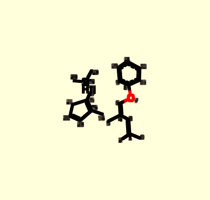 CC(C)=CC(C)=COc1ccccc1.CC1=[C]([Ti][SiH](C)C)CC=C1